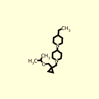 CCC1CCN(C2CCN(CC3(COC(C)C)CC3)CC2)CC1